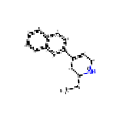 CCC1CC(c2ccc3ccccc3c2)=CCN1